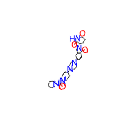 O=C1CCC(N2Cc3cc(N4CCN(C5CCN(C(=O)N6CCCCC6)CC5)CC4)ccc3C2=O)C(=O)N1